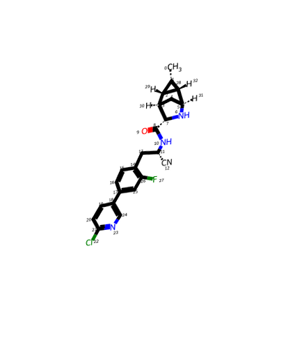 C[C@H]1[C@H]2[C@H]3C[C@H](N[C@@H]3C(=O)N[C@H](C#N)Cc3ccc(-c4ccc(Cl)nc4)cc3F)[C@@H]12